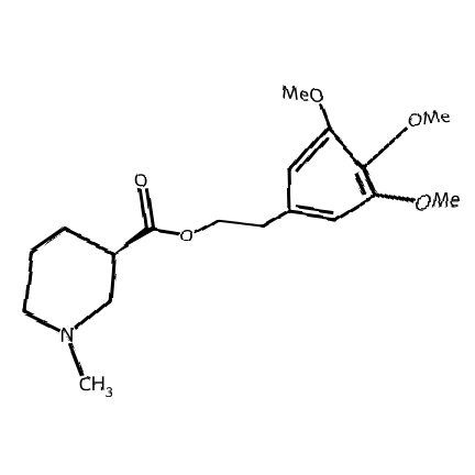 COc1cc(CCOC(=O)[C@@H]2CCCN(C)C2)cc(OC)c1OC